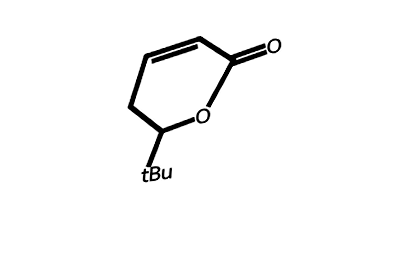 CC(C)(C)C1CC=CC(=O)O1